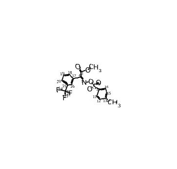 COC(=O)C(=NOS(=O)(=O)c1ccc(C)cc1)c1cccc(C(F)(F)F)c1